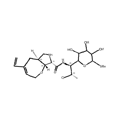 C=CC1=CCO[C@@H]2[C@H](CN[C@@H]2C(=O)N[C@@H](C2OC(SC)C(O)C(O)C2O)[C@H](C)Cl)C1